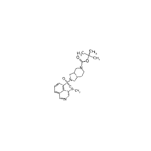 COc1cncc2cccc(S(=O)(=O)N3CC4CCN(C(=O)OC(C)(C)C)CC4C3)c12